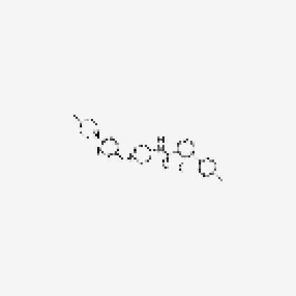 Cc1ccc(-c2cccc(C(=O)NC3CCN(Cc4ccc(N5CCC(C)CC5)nc4)CC3)c2Cl)cc1